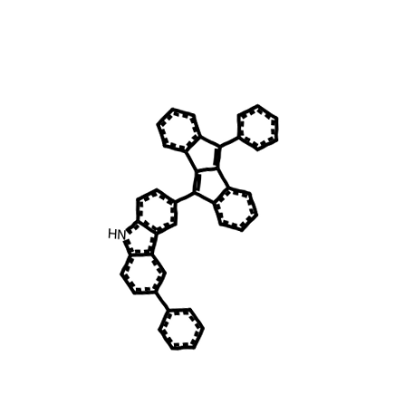 c1ccc(C2=C3C(=C(c4ccc5[nH]c6ccc(-c7ccccc7)cc6c5c4)c4ccccc43)c3ccccc32)cc1